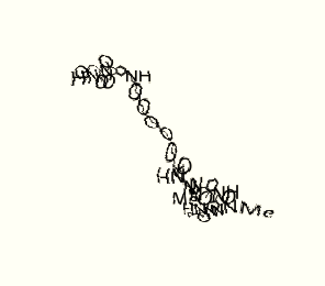 CNC(=O)c1nnc(NC(=O)C2CC2)cc1Nc1cccc(-c2ncn(CCNC(=O)CCOCCOCCOCCOCCOCCNc3ccc4c(c3)C(=O)N(C3CCC(=O)NC3=O)C4=O)n2)c1OC